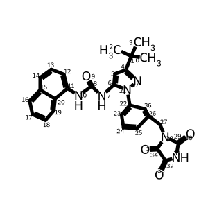 CC(C)(C)c1cc(NC(=O)Nc2cccc3ccccc23)n(-c2cccc(CN3C(=O)NC(=O)C3=O)c2)n1